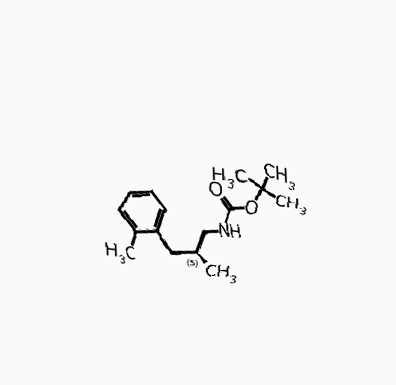 Cc1ccccc1C[C@H](C)CNC(=O)OC(C)(C)C